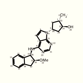 [CH2][C@H]1C[C@@H](n2ccc3c(N[C@@H]4c5ccccc5C[C@@H]4OC)ncnc32)C[C@@H]1O